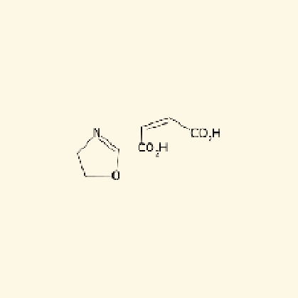 C1=NCCO1.O=C(O)/C=C\C(=O)O